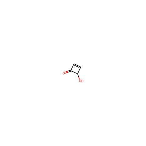 O=C1C=CC1O